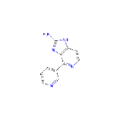 Nc1nc2c(-c3cccnc3)nccc2[nH]1